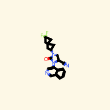 N#CC1CN(C2CC3(C2)CC(F)(F)C3)C(=O)N1c1cncc2ccccc12